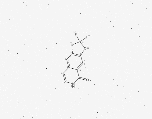 O=c1[nH]ccc2cc3c(cc12)OC(F)(F)O3